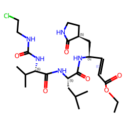 CCOC(=O)/C=C/[C@H](C[C@@H]1CCNC1=O)NC(=O)[C@H](CC(C)C)NC(=O)[C@@H](NC(=O)NCCCl)C(C)C